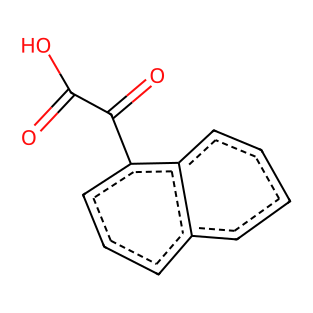 O=C(O)C(=O)c1cccc2ccccc12